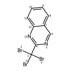 BrC(Br)(Br)c1ncc2ccccc2n1